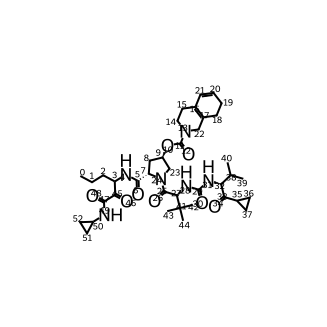 CCCC(NC(=O)[C@@H]1C[C@@H](OC(=O)N2CCC3=C(CCC=C3)C2)CN1C(=O)[C@@H](NC(=O)N[C@H](C(=O)C1CC1)C(C)C)C(C)(C)C)C(=O)C(=O)NC1CC1